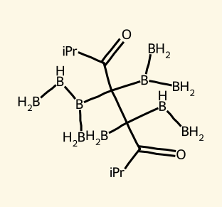 BBB(B)C(B(B)B)(C(=O)C(C)C)C(B)(BB)C(=O)C(C)C